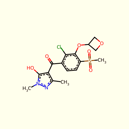 Cc1nn(C)c(O)c1C(=O)c1ccc(S(C)(=O)=O)c(OC2COC2)c1Cl